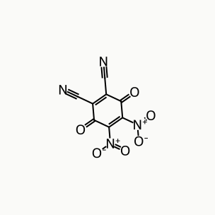 N#CC1=C(C#N)C(=O)C([N+](=O)[O-])=C([N+](=O)[O-])C1=O